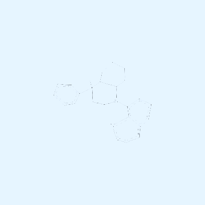 OC1(c2ccccc2)CCN(c2cccc3cccnc23)C2CCCCC21